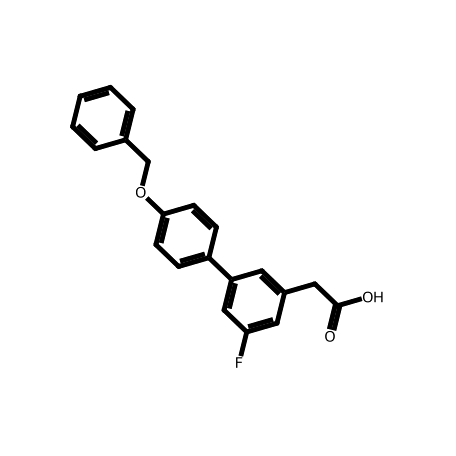 O=C(O)Cc1cc(F)cc(-c2ccc(OCc3ccccc3)cc2)c1